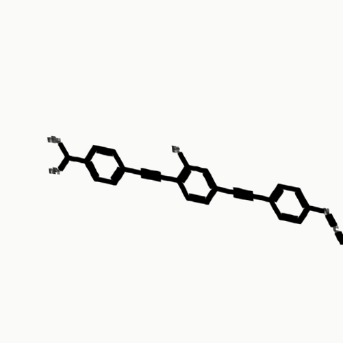 CCCCC(CCC)c1ccc(C#Cc2ccc(C#Cc3ccc(N=C=S)cc3)cc2CC)cc1